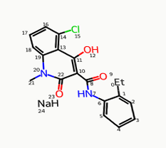 CCc1ccccc1NC(=O)c1c(O)c2c(Cl)cccc2n(C)c1=O.[NaH]